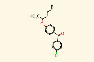 C=CCCC(Oc1ccc(C(=O)c2ccc(Cl)cc2)cc1)C(=O)O